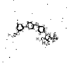 COc1cccc(N2CCC(Oc3ccc(N4N=C(C(F)(F)F)[C@@H](C)[C@@H]4C)cc3)CC2)c1